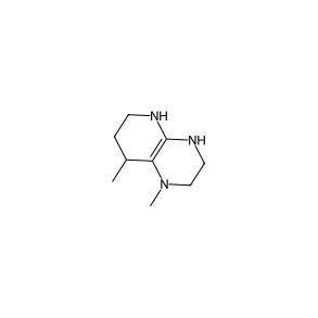 CC1CCNC2=C1N(C)CCN2